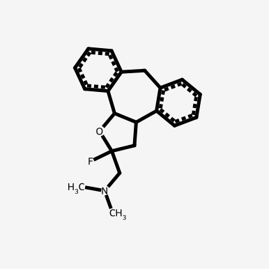 CN(C)CC1(F)CC2c3ccccc3Cc3ccccc3C2O1